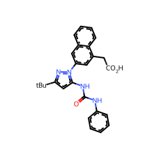 CC(C)(C)c1cc(NC(=O)Nc2ccccc2)n(-c2cc(CC(=O)O)c3ccccc3c2)n1